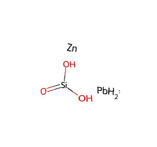 O=[Si](O)O.[PbH2].[Zn]